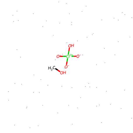 CO.[O-][Cl+3]([O-])([O-])O